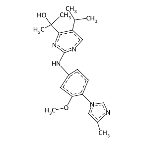 COc1cc(Nc2ncc(C(C)C)c(C(C)(C)O)n2)ccc1-n1cnc(C)c1